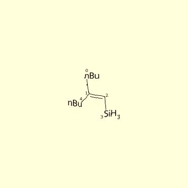 CCCCC(=C[SiH3])CCCC